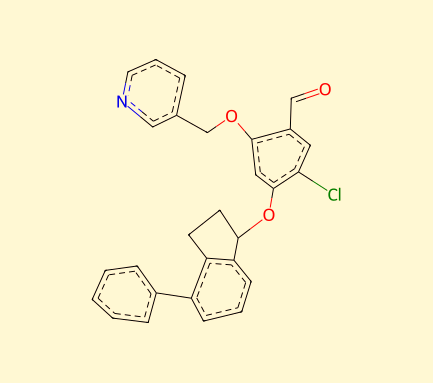 O=Cc1cc(Cl)c(OC2CCc3c(-c4ccccc4)cccc32)cc1OCc1cccnc1